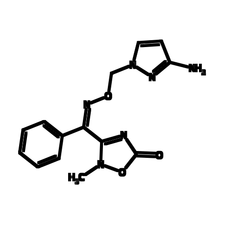 Cn1oc(=O)nc1/C(=N\OCn1ccc(N)n1)c1ccccc1